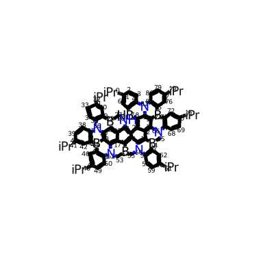 CC(C)c1ccc2c(c1)Bc1c3c4c5c6c7c8c9c%10c%11c%12c%13c%14c%15c%11c(c9c16)NCB%15c1cc(C(C)C)ccc1N%14c1ccc(C(C)C)cc1B%13c1cc(C(C)C)ccc1N%12CB%10CN8c1ccc(C(C)C)cc1B7CN5c1ccc(C(C)C)cc1B4c1cc(C(C)C)ccc1N23